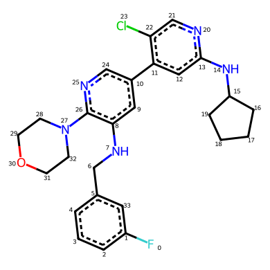 Fc1cccc(CNc2cc(-c3cc(NC4CCCC4)ncc3Cl)cnc2N2CCOCC2)c1